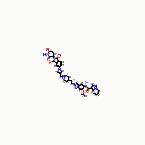 CC(C)Oc1cc2nn(C[C@@H](F)C3CCN(CC4CN(c5ccc6c(c5)C(=O)N(C5CCC(=O)NC5=O)C6=O)C4)CC3)cc2cc1NC(=O)c1cnn2cccnc12